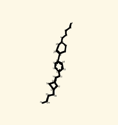 CCCCCC1CCC(c2ccc(CCC3CC(CCCC)C3)cc2)CC1